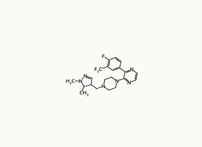 CC1C(CN2CCN(c3nccnc3-c3ccc(F)c(C(F)(F)F)c3)CC2)C=NN1C